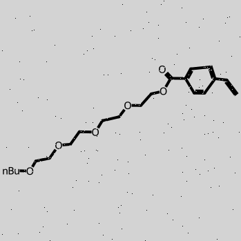 C=Cc1ccc(C(=O)OCCOCCOCCOCCOCCCC)cc1